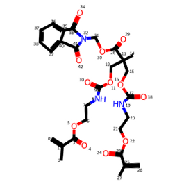 C=C(C)C(=O)OCCNC(=O)OCC(C)(COC(=O)NCCOC(=O)C(=C)C)C(=O)OCN1C(=O)c2ccccc2C1=O